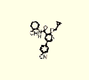 N#Cc1ccc(-c2cnc(OCC3CC3)c(C(=O)N[C@H]3CCCC[C@@H]3O)c2)cc1